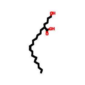 CCCCCCCC/C=C\CCCCCCC(CCCCO)C(=O)O